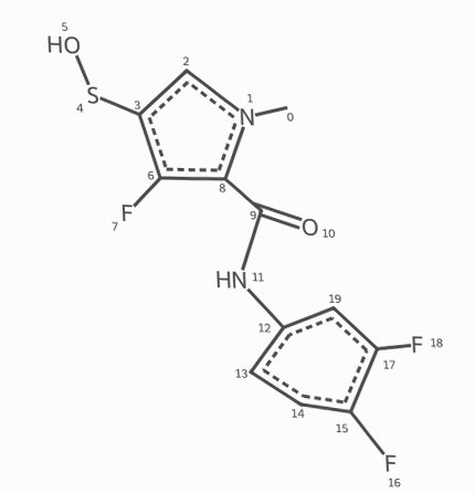 Cn1cc(SO)c(F)c1C(=O)Nc1ccc(F)c(F)c1